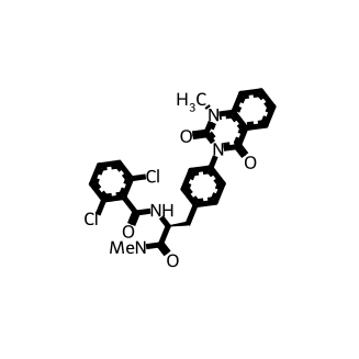 CNC(=O)[C@H](Cc1ccc(-n2c(=O)c3ccccc3n(C)c2=O)cc1)NC(=O)c1c(Cl)cccc1Cl